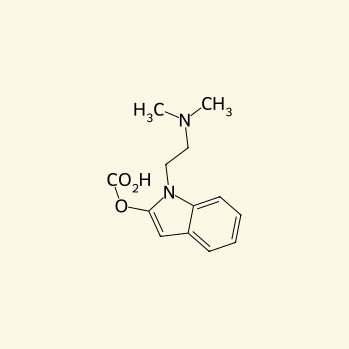 CN(C)CCn1c(OC(=O)O)cc2ccccc21